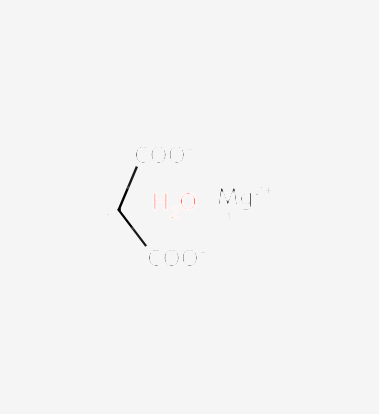 O.O=C([O-])CC(=O)[O-].[Mg+2]